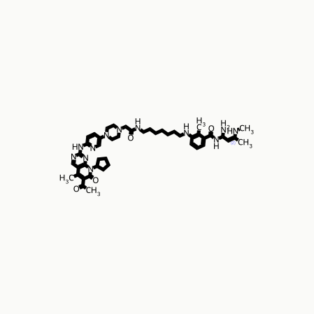 CN/C(C)=C\C(N)NC(=O)c1cccc(NCCCCCCCNC(=O)CN2CCN(c3ccc(Nc4ncc5c(C)c(C(C)=O)c(=O)n(C6CCCC6)c5n4)nc3)CC2)c1C